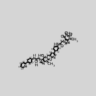 CN1C(=O)N(Cc2cncc(-c3ccc(NC(=O)Cn4cnc5c4c(=O)n(C)c(=O)n5C)cc3)c2)C(O)c2c1ncn2CC(O)Nc1ccc(-c2ccccn2)cc1